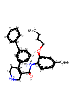 COCCCOc1cc(OC)ccc1NC(=O)C1=C(c2cccc(-c3ccccc3)c2)CCNC1